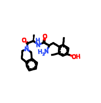 Cc1cc(O)cc(C)c1CC(N)C(=O)N[C@H](C)C(=O)N1CCc2ccccc2C1